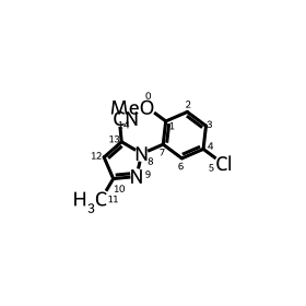 COc1ccc(Cl)cc1-n1nc(C)cc1C#N